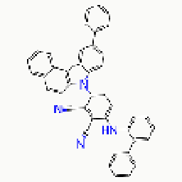 N#CC1=C(C#N)C(n2c3ccc(-c4ccccc4)cc3c3c4ccccc4ccc32)CC=C1Nc1ccccc1-c1ccccc1